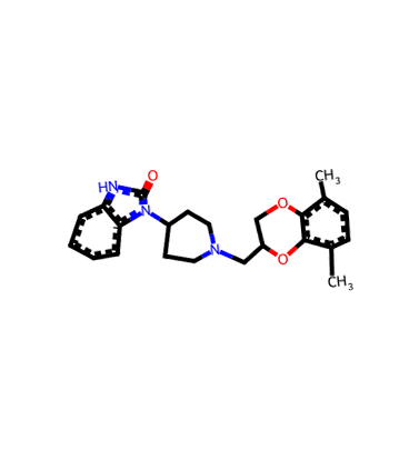 Cc1ccc(C)c2c1OCC(CN1CCC(n3c(=O)[nH]c4ccccc43)CC1)O2